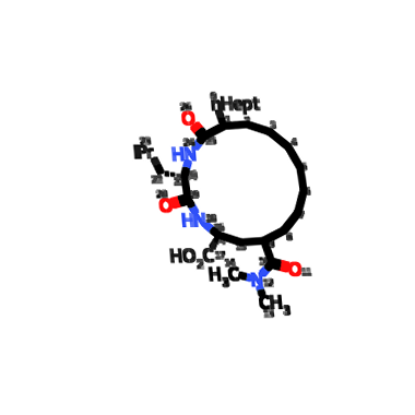 CCCCCCCC1CCCCCCCC(C(=O)N(C)C)C[C@@H](C(=O)O)NC(=O)[C@H](CC(C)C)NC1=O